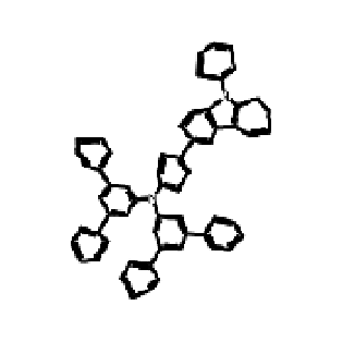 C1=Cc2c(n(-c3ccccc3)c3ccc(-c4ccc(N(c5cc(-c6ccccc6)cc(-c6ccccc6)c5)c5cc(-c6ccccc6)cc(-c6ccccc6)c5)cc4)cc23)CC1